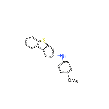 COc1ccc(Nc2ccc3c(c2)sc2ccccc23)cc1